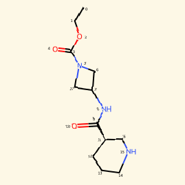 CCOC(=O)N1CC(NC(=O)[C@@H]2CCCNC2)C1